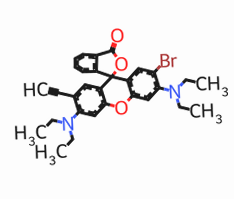 C#Cc1cc2c(cc1N(CC)CC)Oc1cc(N(CC)CC)c(Br)cc1C21OC(=O)c2ccccc21